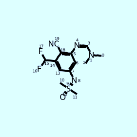 CN(C)/C=N\c1cc(N=S(C)(C)=O)cc(C(F)F)c1C#N